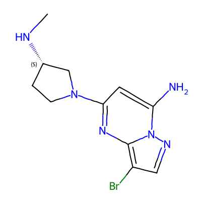 CN[C@H]1CCN(c2cc(N)n3ncc(Br)c3n2)C1